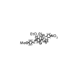 CCOC(=O)CN(CCc1ccc([N+](=O)[O-])cc1)C(=O)CC1C(=O)N(CCc2ccc(OC)cc2)CC(=O)N1CCc1cccs1